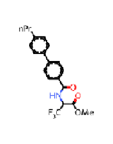 CCCc1ccc(-c2ccc(C(=O)NC(C(=O)OC)C(F)(F)F)cc2)cc1